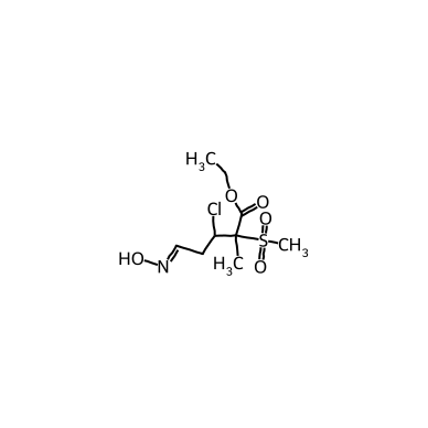 CCOC(=O)C(C)(C(Cl)CC=NO)S(C)(=O)=O